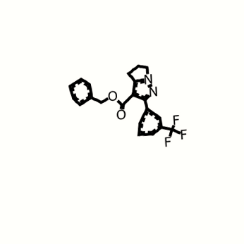 O=C(OCc1ccccc1)c1c(-c2cccc(C(F)(F)F)c2)nn2c1CCC2